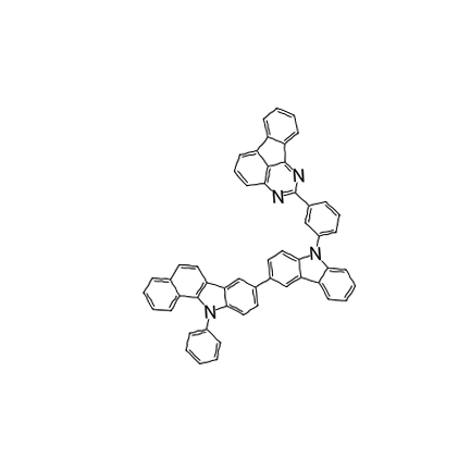 c1ccc(-n2c3ccc(-c4ccc5c(c4)c4ccccc4n5-c4cccc(-c5nc6c7c(cccc7n5)-c5ccccc5-6)c4)cc3c3ccc4ccccc4c32)cc1